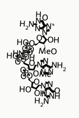 COC[C@H]1[C@@H](O)[C@H](n2c[n+](C)c3c(=O)[nH]c(N)nc32)O[C@@H]1COP(=O)(O)OP(=O)(O)NP(=O)(O)OCC1O[C@@H](n2cnc3c(N)ncnc32)[C@H](OC)[C@@H]1P(=O)([O-])OC[C@H]1O[C@@H](n2cnc3c(=O)[nH]c(N)nc32)[C@H](O)[C@@H]1O